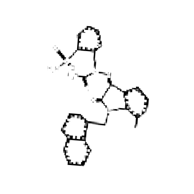 NC(=S)N(/N=C1\C(=O)N(Cc2cccc3ccccc23)c2c(Cl)cccc21)c1ccccc1S(N)(=O)=O